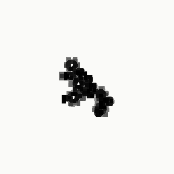 O=C(c1ccccc1)C(O)c1cccc(C(=O)n2nc(C3CCN(C(=O)N4CCOCC4)C3)nc2NCc2ccc(F)cc2)c1Cl